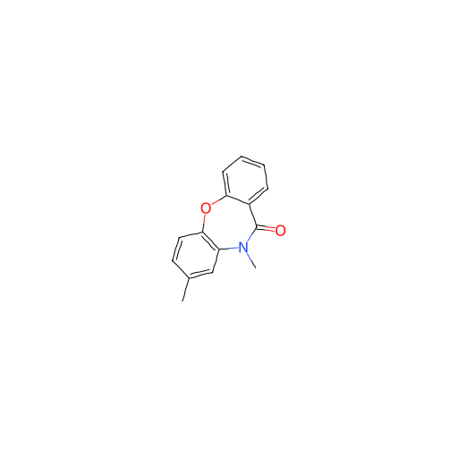 Cc1ccc2c(c1)N(C)C(=O)c1ccccc1O2